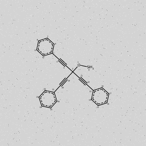 [SiH3]OC(C#Cc1ccccc1)(C#Cc1ccccc1)C#Cc1ccccc1